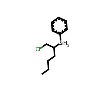 CCCCC(CCl)[SiH2]c1ccccc1